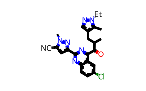 CCn1ncc(CC(C)C(=O)c2nc(-c3cc(C#N)n(C)n3)nc3ccc(Cl)cc23)c1C